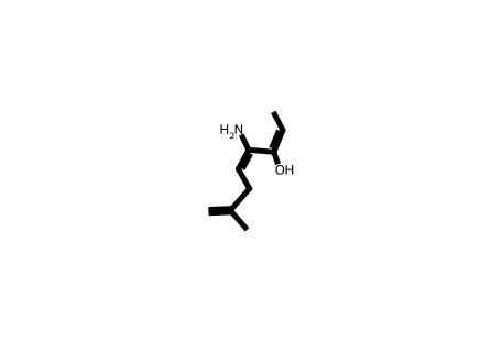 C=C(C)C/C=C(N)\C(O)=C/C